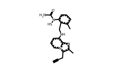 C#CCc1c(C)nc2c(NCc3c(C)cccc3N(S)C(N)=O)cccn12